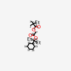 CCC(C)(C)C(=O)OCC(=O)OC(CC)(CC)C1CCCCC1